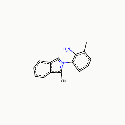 Cc1cccc(-n2cc3ccccc3c2C#N)c1N